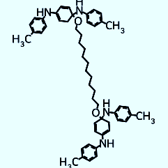 Cc1ccc(NC2=CCC(Nc3ccc(C)cc3)(OCCCCCCCCCCCCOC3(Nc4ccc(C)cc4)C=CC(Nc4ccc(C)cc4)=CC3)C=C2)cc1